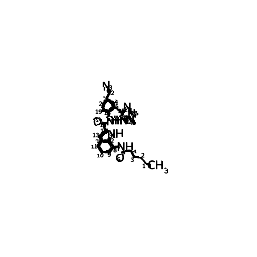 CCCCCC(=O)Nc1cccc2cc(C(=O)Nc3ccc(C#N)cc3-c3nnn[nH]3)[nH]c12